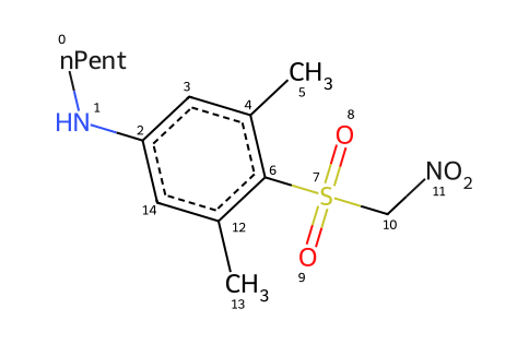 CCCCCNc1cc(C)c(S(=O)(=O)C[N+](=O)[O-])c(C)c1